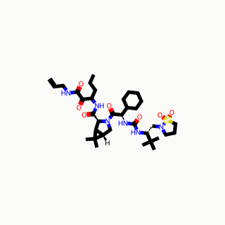 C=CCNC(=O)C(=O)C(CCC)NC(=O)[C@@H]1C2[C@H](CN1C(=O)[C@@H](NC(=O)N[C@H](CN1CCCS1(=O)=O)C(C)(C)C)C1CCCCC1)C2(C)C